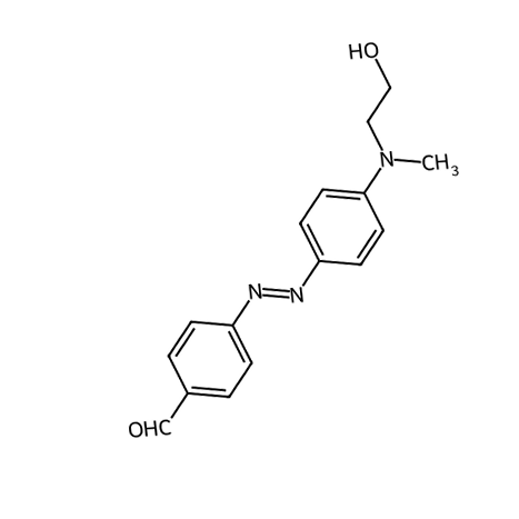 CN(CCO)c1ccc(N=Nc2ccc(C=O)cc2)cc1